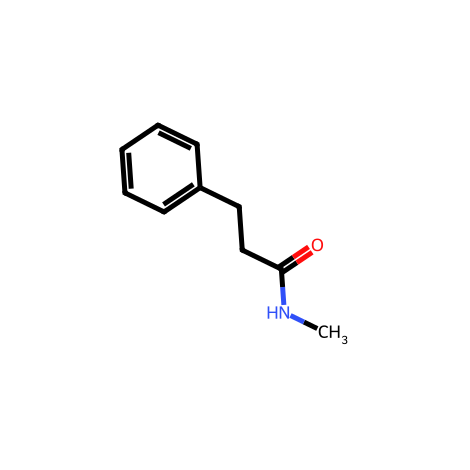 CNC(=O)CCc1ccccc1